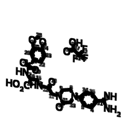 N=C(N)c1ccc(N2CCN(CC(=O)NC[C@H](NS(=O)(=O)c3ccc4c(c3)OCO4)C(=O)O)C(=O)C2)cc1.O=C(O)C(F)(F)F